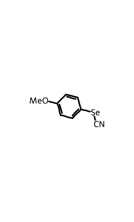 COc1ccc([Se]C#N)cc1